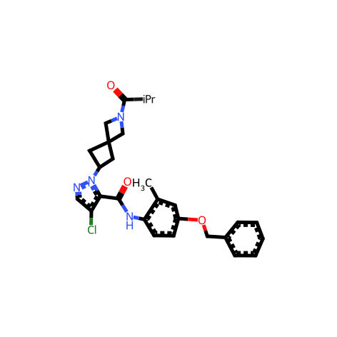 Cc1cc(OCc2ccccc2)ccc1NC(=O)c1c(Cl)cnn1C1CC2(C1)CN(C(=O)C(C)C)C2